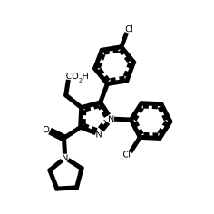 O=C(O)Cc1c(C(=O)N2CCCC2)nn(-c2ccccc2Cl)c1-c1ccc(Cl)cc1